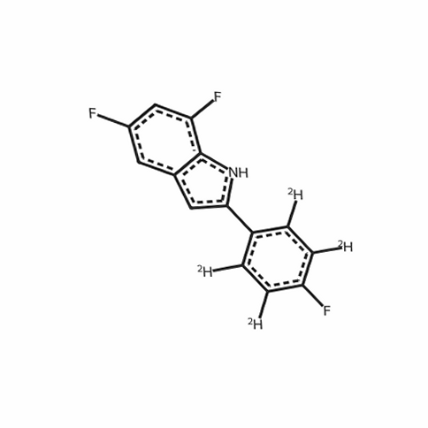 [2H]c1c([2H])c(-c2cc3cc(F)cc(F)c3[nH]2)c([2H])c([2H])c1F